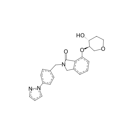 O=C1c2c(cccc2O[C@@H]2COCC[C@H]2O)CN1Cc1ccc(-n2cccn2)cc1